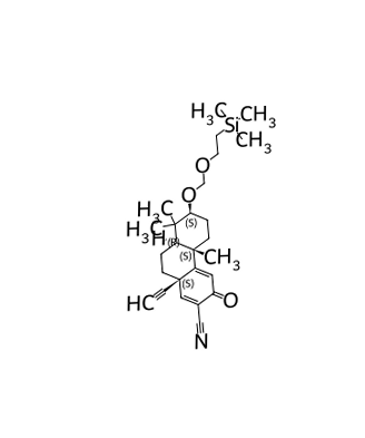 C#C[C@]12C=C(C#N)C(=O)C=C1[C@@]1(C)CC[C@H](OCOCC[Si](C)(C)C)C(C)(C)[C@@H]1CC2